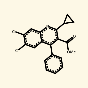 COC(=O)c1c(C2CC2)nc2cc(Cl)c(Cl)cc2c1-c1ccccc1